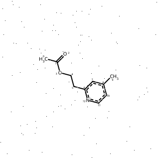 CC(=O)OCCc1cc(C)ccn1